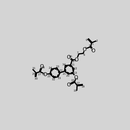 C=C(C)C(=O)OCCOC(=O)c1cc(OC(=O)C(=C)C)cc(-c2ccc(OC(=O)C(=C)C)cc2)c1